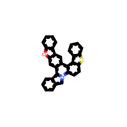 c1ccc2c(c1)cn1c3ccc4sc5ccccc5c4c3c3cc4c(cc3c21)oc1ccccc14